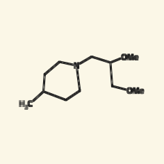 COCC(CN1CCC(C)CC1)OC